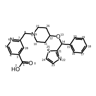 O=C(O)c1ccnc(CN2CCC(OC(c3ccccc3)c3nccs3)CC2)c1